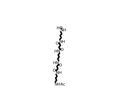 CC(=O)NCCCCCNC(=O)CCC(=O)NCCCCCNC(=O)CCC(=O)NCCCCCNO